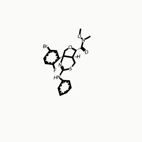 CON(C)C(=O)[C@H]1OC[C@]2(c3cc(Br)ccc3F)N=C(Nc3ccccc3)SC[C@H]12